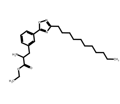 CCCCCCCCCCCc1noc(-c2cccc(CC(N)C(=O)OCC)c2)n1